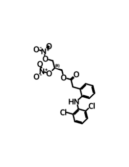 O=C(Cc1ccccc1Nc1c(Cl)cccc1Cl)OC[C@H](CO[N+](=O)[O-])O[N+](=O)[O-]